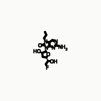 CCCn1c(=O)n([C@@H]2O[C@H](C(O)CF)C[C@H]2O)c2nc(N)ncc21